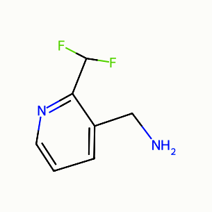 NCc1cccnc1C(F)F